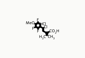 COc1c(F)cc(C(Cl)=CC2C(C(=O)O)C2(C)C)c(F)c1F.Cl